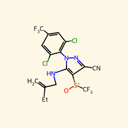 C=C(CC)CNc1c([S+]([O-])C(F)(F)F)c(C#N)nn1-c1c(Cl)cc(C(F)(F)F)cc1Cl